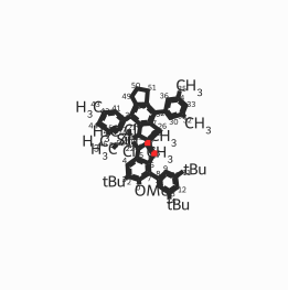 COc1c(C(C)(C)C)cc2c(c1-c1cc(C(C)(C)C)cc(C(C)(C)C)c1)C=C(C)[CH]2[Zr]([Cl])([Cl])([CH]1C(C)=Cc2c(-c3cc(C)cc(C)c3)c3c(c(-c4cc(C)cc(C)c4)c21)CCC3)[SiH](C)C